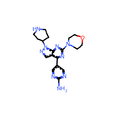 Nc1ncc(-c2nc(N3CCOCC3)nc3c2cnn3C2CCNCC2)cn1